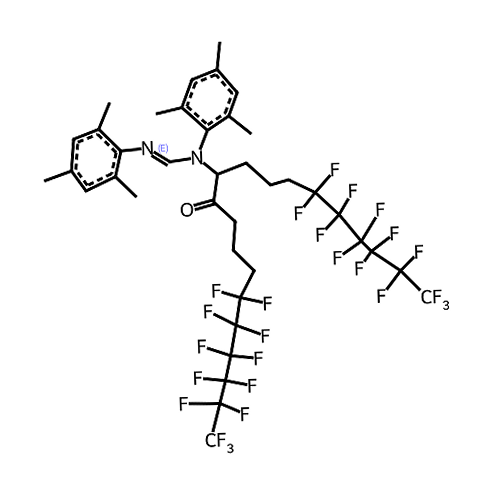 Cc1cc(C)c(/N=C/N(c2c(C)cc(C)cc2C)C(CCCC(F)(F)C(F)(F)C(F)(F)C(F)(F)C(F)(F)C(F)(F)F)C(=O)CCCC(F)(F)C(F)(F)C(F)(F)C(F)(F)C(F)(F)C(F)(F)F)c(C)c1